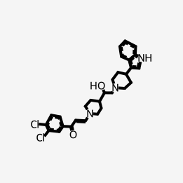 O=C(C=CN1CCC(C(O)CN2CCC(c3c[nH]c4ccccc34)CC2)CC1)c1ccc(Cl)c(Cl)c1